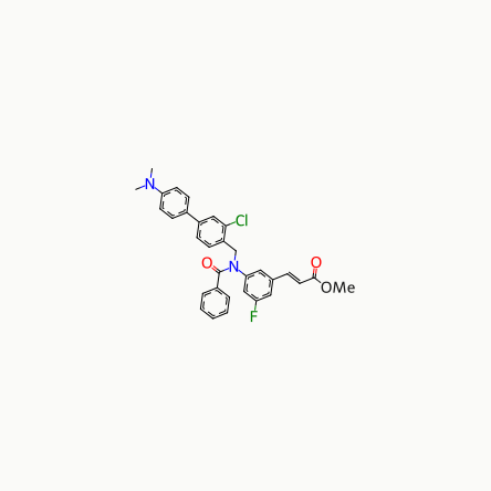 COC(=O)/C=C/c1cc(F)cc(N(Cc2ccc(-c3ccc(N(C)C)cc3)cc2Cl)C(=O)c2ccccc2)c1